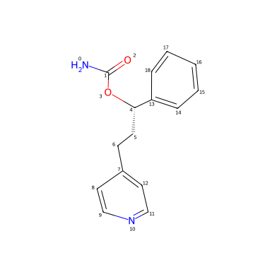 NC(=O)O[C@@H](CCc1ccncc1)c1ccccc1